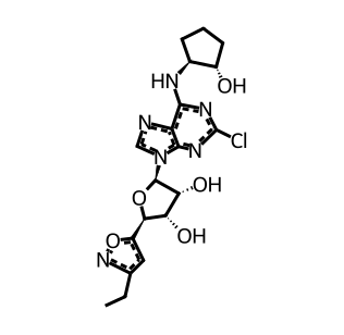 CCc1cc([C@H]2O[C@@H](n3cnc4c(N[C@H]5CCC[C@@H]5O)nc(Cl)nc43)[C@H](O)[C@@H]2O)on1